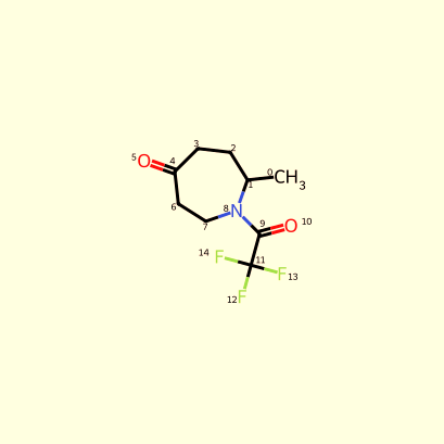 CC1CCC(=O)CCN1C(=O)C(F)(F)F